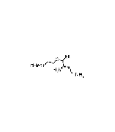 CCCCCCCCCOC(CC)C(N)=CCN